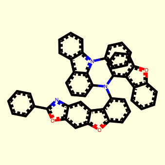 c1ccc(-c2nc3cc4c(cc3o2)oc2cccc(N(c3cccc5oc6ccccc6c35)c3cccc5c6ccccc6n(-c6ccccc6)c35)c24)cc1